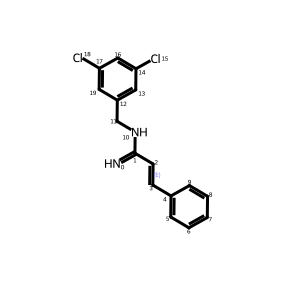 N=C(/C=C/c1ccccc1)NCc1cc(Cl)cc(Cl)c1